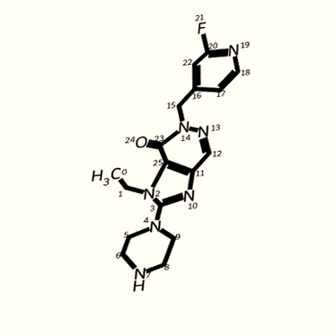 CCn1c(N2CCNCC2)nc2cnn(Cc3ccnc(F)c3)c(=O)c21